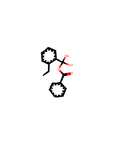 CCc1ccccc1C(O)(O)OC(=O)c1ccccc1